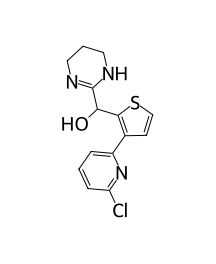 OC(C1=NCCCN1)c1sccc1-c1cccc(Cl)n1